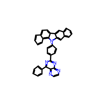 c1ccc(-c2nc(-c3ccc(-n4c5cc6ccccc6cc5c5ccc6ccccc6c54)cc3)nc3nccnc23)cc1